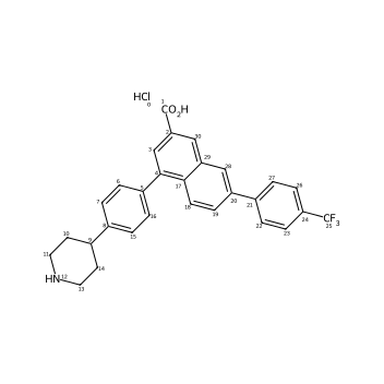 Cl.O=C(O)c1cc(-c2ccc(C3CCNCC3)cc2)c2ccc(-c3ccc(C(F)(F)F)cc3)cc2c1